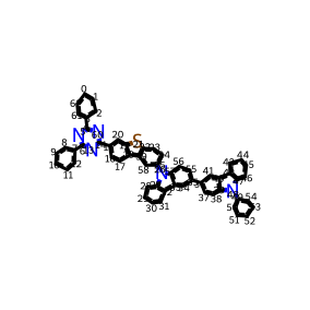 c1ccc(-c2nc(-c3ccccc3)nc(-c3ccc4c(c3)sc3ccc(-n5c6ccccc6c6cc(-c7ccc8c(c7)c7ccccc7n8-c7ccccc7)ccc65)cc34)n2)cc1